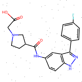 O=C(O)CN1CCC(C(=O)Nc2ccc3[nH]nc(-c4ccc(F)cc4)c3c2)C1